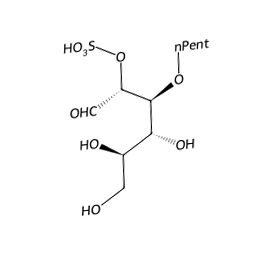 CCCCCO[C@@H]([C@H](O)[C@H](O)CO)[C@H](C=O)OS(=O)(=O)O